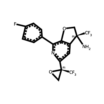 N[C@@]1(C(F)(F)F)COc2c1cc([C@]1(C(F)(F)F)CO1)nc2-c1ccc(F)cc1